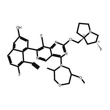 C#Cc1c(F)ccc2cc(O)cc(-c3ncc4c(N5CC(OC)COCC5C)nc(OC[C@@]56CCCN5C[C@H](F)C6)nc4c3F)c12